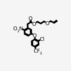 C=CCOCCCOC(=O)Cc1cc(Oc2ccc(C(F)(F)F)cc2Cl)ccc1[N+](=O)[O-]